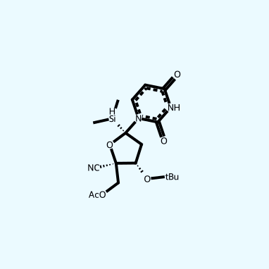 CC(=O)OC[C@@]1(C#N)O[C@](n2ccc(=O)[nH]c2=O)([SiH](C)C)C[C@@H]1OC(C)(C)C